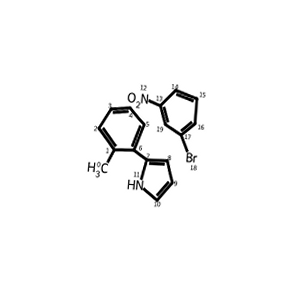 Cc1ccccc1-c1ccc[nH]1.O=[N+]([O-])c1cccc(Br)c1